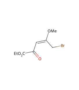 CCOC(=O)C(=O)/C=C(\CBr)OC